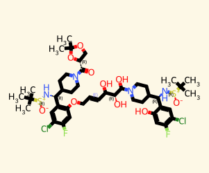 CC1(C)OC[C@H](C(=O)N2CCC([C@@H](N[S@@+]([O-])C(C)(C)C)c3cc(Cl)c(F)cc3OC/C=C/C(O)[C@@H](O)C(O)N3CCC([C@@H](N[S@@+]([O-])C(C)(C)C)c4cc(Cl)c(F)cc4O)CC3)CC2)O1